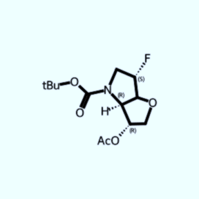 CC(=O)O[C@H]1COC2[C@@H](F)CN(C(=O)OC(C)(C)C)[C@@H]21